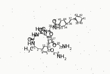 CC1Cc2ccc(OCCN)c(c2)-c2cc(ccc2OCCN)C(N(C)C(=O)CNC(=O)c2ccc(/C=C/c3ccccc3)cc2)C(=O)NCC(=O)N1